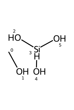 CO.O[SiH](O)O